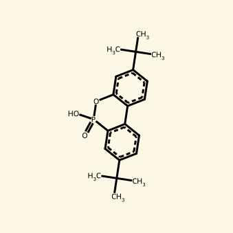 CC(C)(C)c1ccc2c(c1)OP(=O)(O)c1cc(C(C)(C)C)ccc1-2